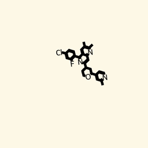 Cc1cc(C2CC(c3cc4nc(C)c(C)cc4c(-c4ccc(Cl)cc4F)n3)CCO2)ccn1